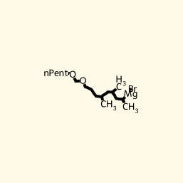 CCCCCOCOCCCC(C)CC(C)C[CH](C)[Mg][Br]